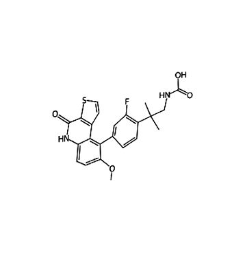 COc1ccc2[nH]c(=O)c3sccc3c2c1-c1ccc(C(C)(C)CNC(=O)O)c(F)c1